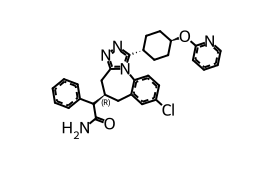 NC(=O)C(c1ccccc1)[C@@H]1Cc2cc(Cl)ccc2-n2c(nnc2[C@H]2CC[C@H](Oc3ccccn3)CC2)C1